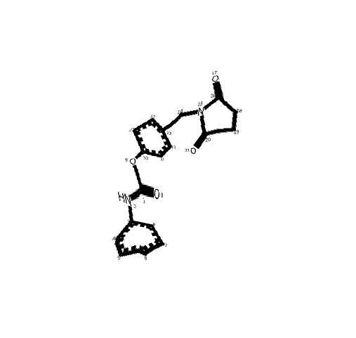 O=C(Nc1ccccc1)Oc1ccc(CN2C(=O)CCC2=O)cc1